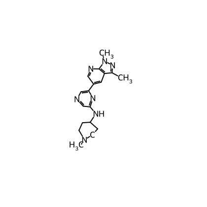 Cc1nn(C)c2ncc(-c3cncc(NC4CCN(C)CC4)n3)cc12